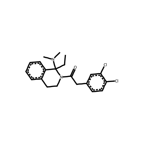 CCC1(N(C)C)c2ccccc2CCN1C(=O)Cc1ccc(Cl)c(Cl)c1